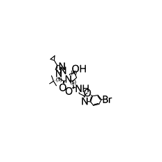 CC(C)(C)[C@@H](C(=O)N1C[C@H](O)C[C@H]1C(=O)NCc1nc2ccc(Br)cc2o1)n1cc(C2CC2)nn1